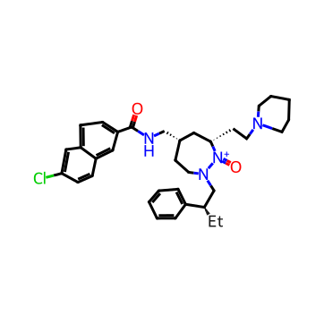 CC[C@H](CN1CC[C@H](CNC(=O)c2ccc3cc(Cl)ccc3c2)C[C@H](CCN2CCCCC2)[N+]1=O)c1ccccc1